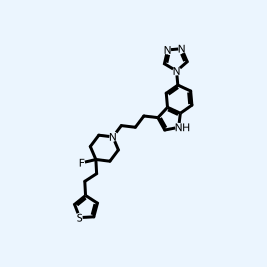 FC1(CCc2ccsc2)CCN(CCCc2c[nH]c3ccc(-n4cnnc4)cc23)CC1